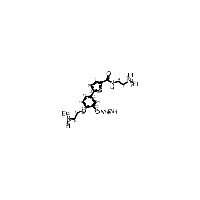 CCN(CC)CCNC(=O)c1ccc(-c2ccc(OCCN(CC)CC)c(OC)c2)s1.Cl